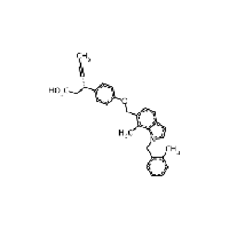 CC#C[C@@H](CC(=O)O)c1ccc(OCc2ccc3ccn(Cc4ccccc4C)c3c2C)cc1